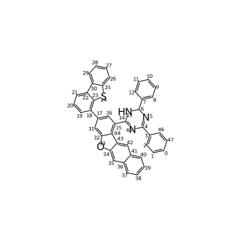 c1ccc(C2=NC(c3ccccc3)NC(c3cc(-c4cccc5c4sc4ccccc45)cc4oc5cc6ccccc6cc5c34)=N2)cc1